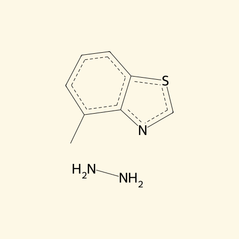 Cc1cccc2scnc12.NN